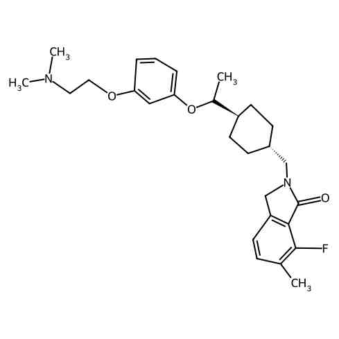 Cc1ccc2c(c1F)C(=O)N(C[C@H]1CC[C@H](C(C)Oc3cccc(OCCN(C)C)c3)CC1)C2